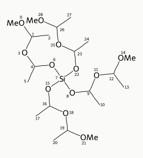 COC(C)OC(C)O[Si](OC(C)OC(C)OC)(OC(C)OC(C)OC)OC(C)OC(C)OC